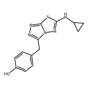 Oc1ccc(Cc2nnc3sc(NC4CC4)nn23)cc1